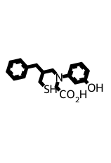 O=C(O)CN(CC(CS)Cc1ccccc1)c1cccc(O)c1